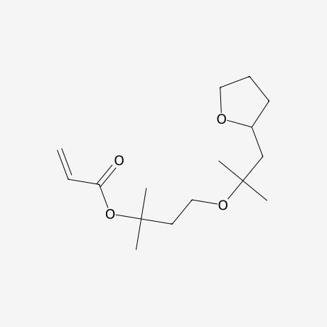 C=CC(=O)OC(C)(C)CCOC(C)(C)CC1CCCO1